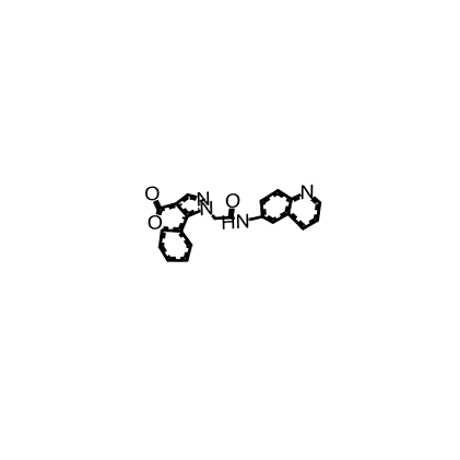 O=C(Cn1ncc2c(=O)oc3ccccc3c21)Nc1ccc2ncccc2c1